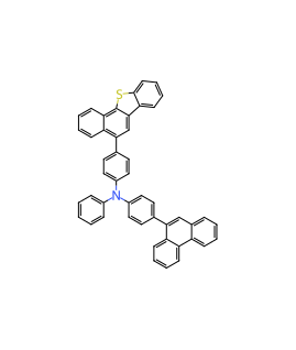 c1ccc(N(c2ccc(-c3cc4ccccc4c4ccccc34)cc2)c2ccc(-c3cc4c5ccccc5sc4c4ccccc34)cc2)cc1